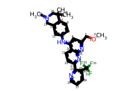 COCc1cc(Nc2ccc3c(c2)CN(C)CC3(C)C)c2ccc(-c3ncccc3C(F)(F)F)nc2n1